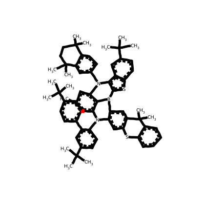 Cc1cc2c3c(c1)N(c1ccc4c(c1)C(C)(C)CCC4(C)C)c1c(sc4ccc(C(C)(C)C)cc14)B3c1cc3c(cc1N2c1ccc(C(C)(C)C)cc1-c1ccc(C(C)(C)C)cc1)Sc1ccccc1C3(C)C